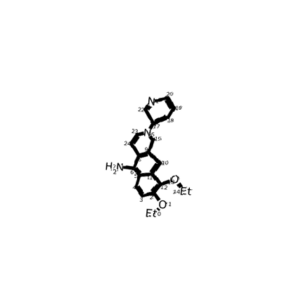 CCOc1ccc2c(N)c3c(cc2c1OCC)CN(c1cccnc1)C=C3